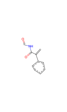 C=C(C(=O)N[C]=O)c1ccccc1